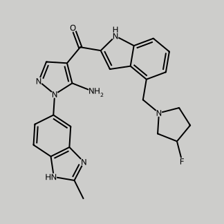 Cc1nc2cc(-n3ncc(C(=O)c4cc5c(CN6CCC(F)C6)cccc5[nH]4)c3N)ccc2[nH]1